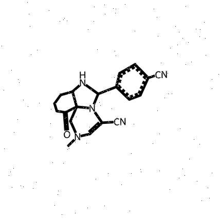 CN1C=C(C#N)N2C(c3ccc(C#N)cc3)NC3CCCC(=O)C32C1